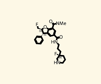 CNC(=O)c1cc(C(=O)NCCC[C@]2(F)CCCNC2)cc2c1O[C@H](CF)[C@H]2c1ccccc1